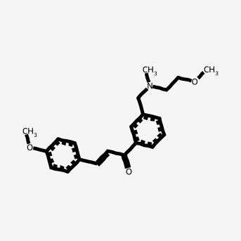 COCCN(C)Cc1cccc(C(=O)C=Cc2ccc(OC)cc2)c1